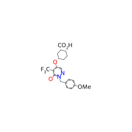 COc1ccc(Cn2ncc(O[C@H]3CCC[C@@H](C(=O)O)C3)c(C(F)(F)F)c2=O)cc1